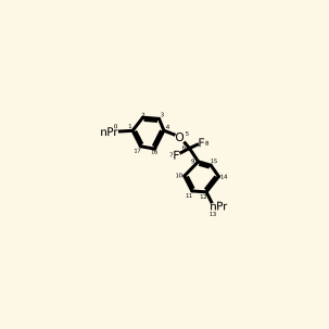 CCCc1ccc(OC(F)(F)c2ccc(CCC)cc2)cc1